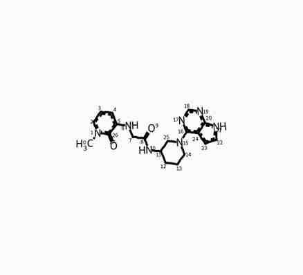 Cn1cccc(NCC(=O)NC2CCCN(c3ncnc4[nH]ccc34)C2)c1=O